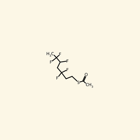 CC(=O)SCCC(F)(F)CC(F)C(C)(F)F